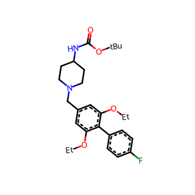 CCOc1cc(CN2CCC(NC(=O)OC(C)(C)C)CC2)cc(OCC)c1-c1ccc(F)cc1